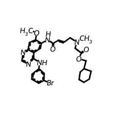 COc1cc2ncnc(Nc3cccc(Br)c3)c2cc1NC(=O)C=CCN(C)CC(=O)OCC1CCCCC1